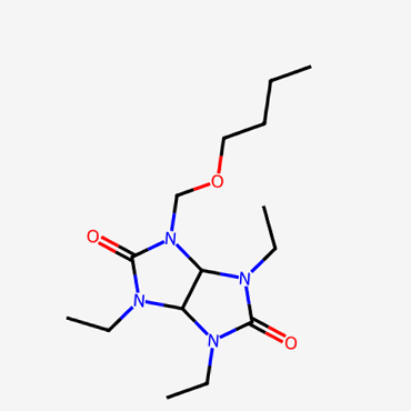 CCCCOCN1C(=O)N(CC)C2C1N(CC)C(=O)N2CC